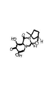 CC12CC[C@H](C1)O[C@@H]1Cn3cc(O)c(=O)c(O)c3C(=O)N12